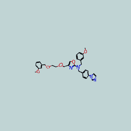 COc1cccc(COCCOCc2coc(N(Cc3ccc(-n4ccnc4)cc3)Cc3cccc(OC)c3)n2)c1